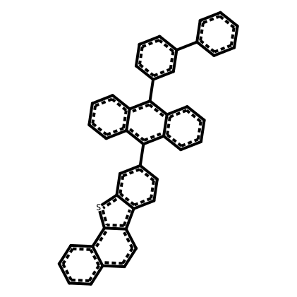 c1ccc(-c2cccc(-c3c4ccccc4c(-c4ccc5c(c4)sc4c6ccccc6ccc54)c4ccccc34)c2)cc1